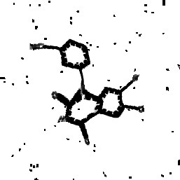 N#Cc1cccc(-n2c(=O)[nH]c(=O)c3cc(Cl)c(Br)cc32)c1